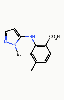 CCn1nccc1Nc1cc(C)ccc1C(=O)O